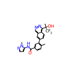 Cc1ccc(C(=O)Nc2ccnn2C)cc1-c1ccc2c([C@](C)(O)C(F)(F)F)nncc2c1